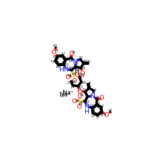 C=C1CN2C(=O)c3cc(OC)ccc3NC(S(=O)(=O)[O-])C2C1OC(CC)CCOC1C(=C)CN2C(=O)c3cc(OC)ccc3NC(S(=O)(=O)[O-])[C@H]12.[Na+].[Na+]